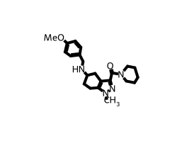 COc1ccc(CNC2CCc3c(c(C(=O)N4CCCCC4)nn3C)C2)cc1